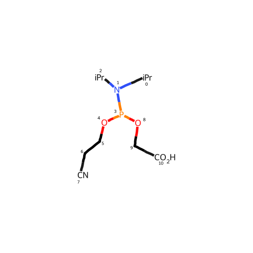 CC(C)N(C(C)C)P(OCCC#N)OCC(=O)O